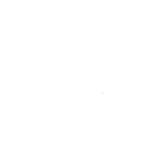 C=C1CCC(N2Cc3c(OCc4ccc(CN)cc4)cccc3C2=O)C(=O)N1